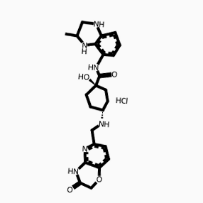 CC1CNc2cccc(NC(=O)[C@]3(O)CC[C@H](NCc4ccc5c(n4)NC(=O)CO5)CC3)c2N1.Cl